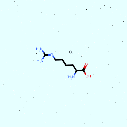 NC(N)=NCCCCC(N)C(=O)O.[Cu]